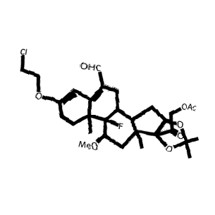 COC1CC2(C)C(CC3OC(C)(C)OC32C(=O)COC(C)=O)C2CC(C=O)=C3C=C(OCCCl)CCC3(C)C12F